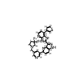 FC1(F)CCN(Cc2cncc(-c3ccc4[nH]nc(-c5nc6c(-c7ccsc7)ccnc6[nH]5)c4n3)c2)C1